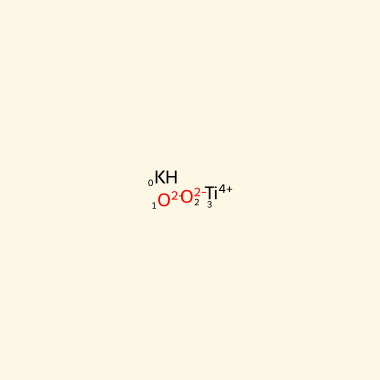 [KH].[O-2].[O-2].[Ti+4]